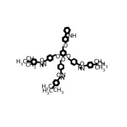 CC(C)(C)c1ccc(-c2nnc(C3=CCC(COc4cc(COc5ccc6c(c5)[nH]c5ccccc56)cc(OCc5ccc(-c6nnc(-c7ccc(C(C)(C)C)cc7)o6)cc5)c4OCC4C=CC(c5nnc(-c6ccc(C(C)(C)C)cc6)o5)=CC4)C=C3)o2)cc1